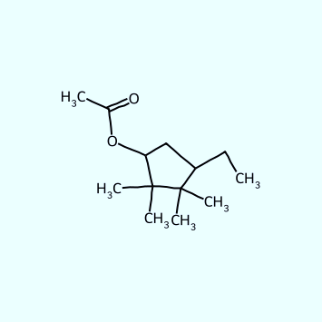 CCC1CC(OC(C)=O)C(C)(C)C1(C)C